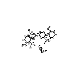 C=Cc1cccc(N=C(C)c2cccc(C(C)=Nc3c(C(C)C)ccc(C=C)c3C(C)C)n2)c1.[Cl-].[Cl-].[Fe+2]